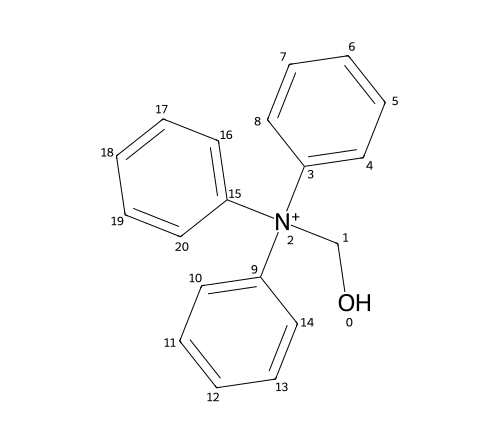 OC[N+](c1ccccc1)(c1ccccc1)c1ccccc1